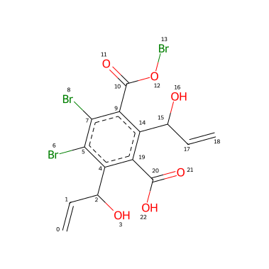 C=CC(O)c1c(Br)c(Br)c(C(=O)OBr)c(C(O)C=C)c1C(=O)O